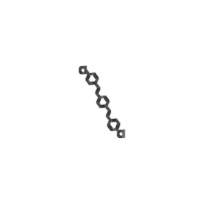 Clc1ccc(/C=C/c2ccc(/C=C/c3ccc(Cl)cc3)cc2)cc1